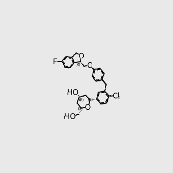 OC[C@@H]1C[C@H](O)C[C@H](c2ccc(Cl)c(Cc3ccc(OC[C@@H]4OCc5cc(F)ccc54)cc3)c2)O1